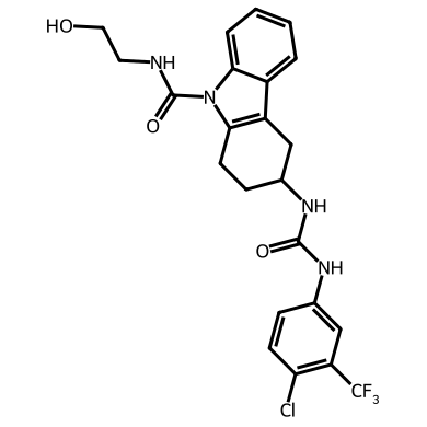 O=C(Nc1ccc(Cl)c(C(F)(F)F)c1)NC1CCc2c(c3ccccc3n2C(=O)NCCO)C1